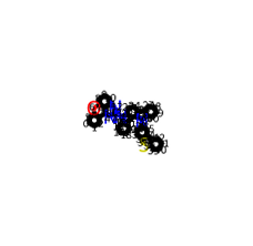 c1ccc2c(c1)Oc1cccc3nc(-n4c5ccccc5c5c4ccc4c6ccccc6n(-c6ccc7sc8ccccc8c7c6)c45)nc-2c13